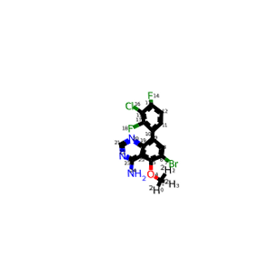 [2H]C([2H])([2H])Oc1c(Br)cc(-c2ccc(F)c(Cl)c2F)c2ncnc(N)c12